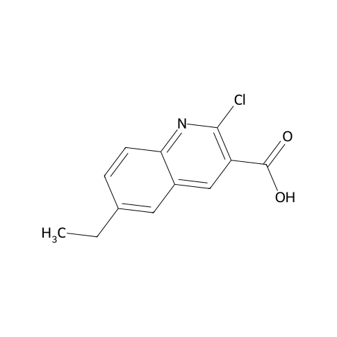 CCc1ccc2nc(Cl)c(C(=O)O)cc2c1